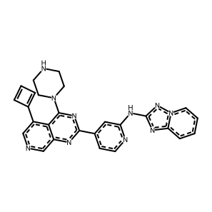 C1=CC(c2cncc3nc(-c4ccnc(Nc5nc6ccccn6n5)c4)nc(N4CCNCC4)c23)=C1